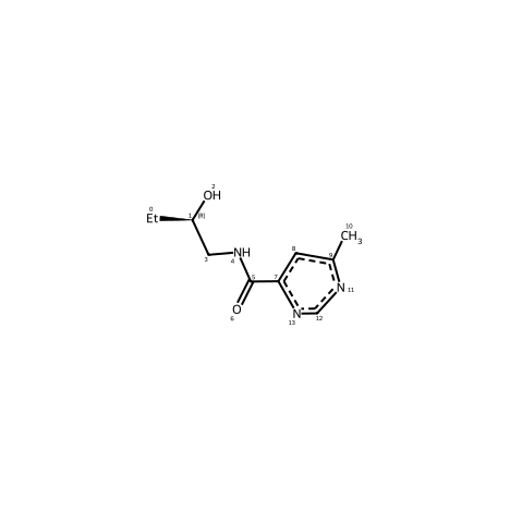 CC[C@@H](O)CNC(=O)c1cc(C)ncn1